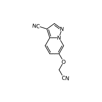 N#CCOc1ccc2c(C#N)cnn2c1